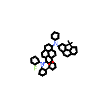 CC1(C)c2cccc3ccc4cc(N(c5ccccc5)c5ccc6ccc7c(N(c8ccccc8F)c8ccccc8-c8ccccc8)ccc8ccc5c6c87)cc1c4c23